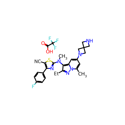 CCc1nn2c(C)cc(N3CC4(CNC4)C3)cc2c1N(C)c1nc(-c2ccc(F)cc2)c(C#N)s1.O=C(O)C(F)(F)F